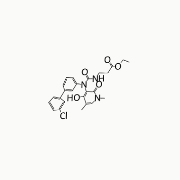 CCOC(=O)CCNC(=O)N(c1cccc(-c2cccc(Cl)c2)c1)c1c(O)c(C)cn(C)c1=O